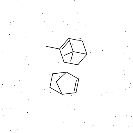 C1=CC2CCC1C2.CC1=C2CC(CC1)C2(C)C